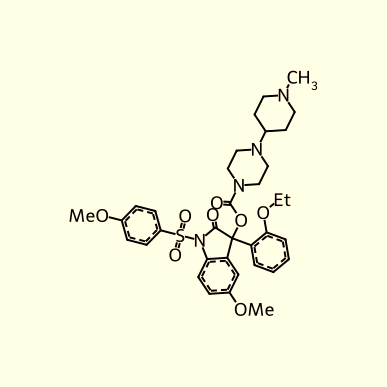 CCOc1ccccc1C1(OC(=O)N2CCN(C3CCN(C)CC3)CC2)C(=O)N(S(=O)(=O)c2ccc(OC)cc2)c2ccc(OC)cc21